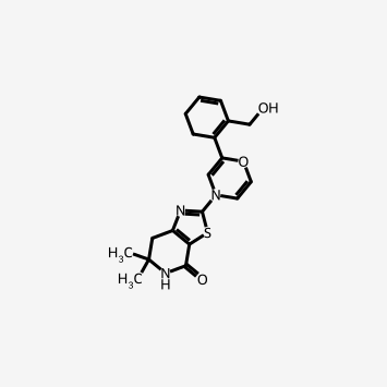 CC1(C)Cc2nc(N3C=COC(C4=C(CO)C=CCC4)=C3)sc2C(=O)N1